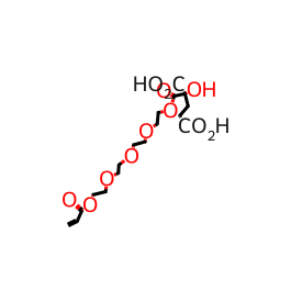 C=CC(=O)OCCOCCOCCOCCOC(=O)C(O)(CCC(=O)O)C(=O)O